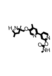 CNC(=O)Oc1cc(-c2cc(C)c(OC[C@@](C)(N)CC(C)C)cn2)ccn1